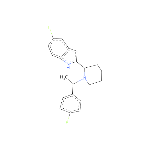 CC(c1ccc(F)cc1)N1CCCCC1c1cc2cc(F)ccc2[nH]1